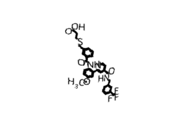 COc1ccc(NC(=O)c2cccc(CSCCC(=O)O)c2)c(-c2cc(C(=O)NCc3cccc(C(F)(F)F)c3)ccn2)c1